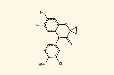 CC(C)COc1ncc(N2C(=O)C3(CC3)Oc3cc(C#N)c(F)cc32)cc1Cl